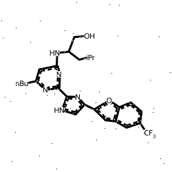 CCCCc1cc(NC(CO)CC(C)C)nc(-c2nc(-c3cc4cc(C(F)(F)F)ccc4o3)c[nH]2)n1